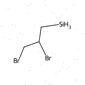 [SiH3]CC(Br)CBr